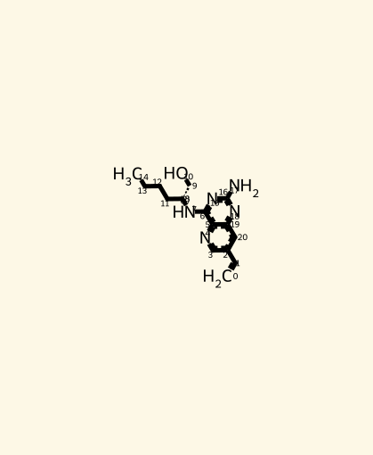 C=Cc1cnc2c(N[C@@H](CO)CCCC)nc(N)nc2c1